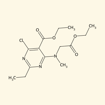 CCOC(=O)CN(C)c1nc(CC)nc(Cl)c1C(=O)OCC